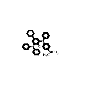 CN(C)c1ccc(N(c2ccccc2)c2cc(C3CCCCC3)cc(N(c3ccccc3)c3ccccc3)c2Cl)cc1